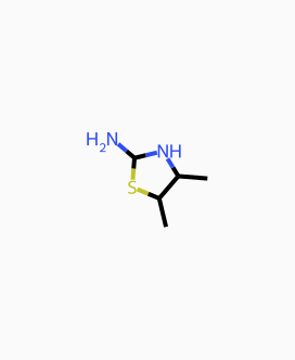 CC1NC(N)SC1C